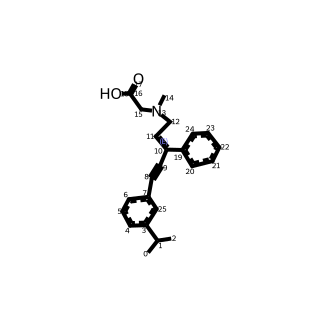 CC(C)c1cccc(C#C/C(=C/CN(C)CC(=O)O)c2ccccc2)c1